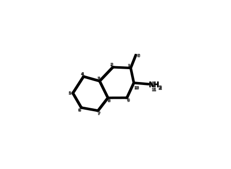 CC1CC2CCCCC2CC1N